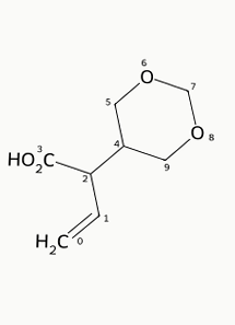 C=CC(C(=O)O)C1COCOC1